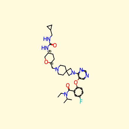 CCN(C(=O)c1cc(F)ccc1Oc1cncnc1N1CC2(CCN(C[C@@H]3CC[C@@H](NC(=O)NCC4CC4)CO3)CC2)C1)C(C)C